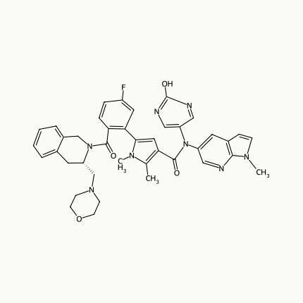 Cc1c(C(=O)N(c2cnc(O)nc2)c2cnc3c(ccn3C)c2)cc(-c2cc(F)ccc2C(=O)N2Cc3ccccc3C[C@H]2CN2CCOCC2)n1C